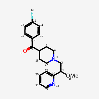 COC(CN1CCC(C(=O)c2ccc(F)cc2)CC1)c1ccccn1